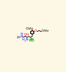 COCCCOc1cc(C[C@@H](C[C@H](N)[C@@H](O)CNC(C)C)C(C)C)ccc1OC.Cl.Cl